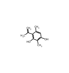 C=C(C)c1c(C)cc(O)c(C)c1O